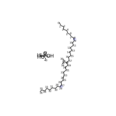 CCCCCCCC/C=C\CCCCCCCCC(CCCCCCCC/C=C\CCCCCCCC)P(C)C.CP(=O)(O)O.I